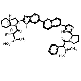 CC(C)C(C(=O)N1[C@H](c2nc3ccc(-c4ccc5cc(-c6cnc(C7CCCN7C(=O)C(c7ccccc7)N(C)C)[nH]6)ccc5c4)cc3[nH]2)C[C@@H]2CCCC[C@@H]21)N(C)C(=O)O